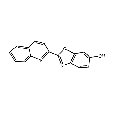 Oc1ccc2nc(-c3ccc4ccccc4n3)oc2c1